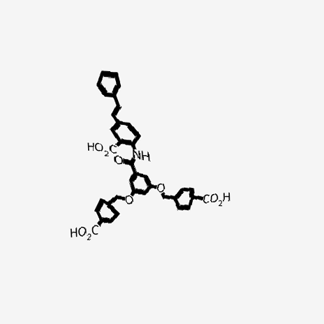 O=C(O)c1ccc(COc2cc(OCc3ccc(C(=O)O)cc3)cc(C(=O)Nc3ccc(/C=C/c4ccccc4)cc3C(=O)O)c2)cc1